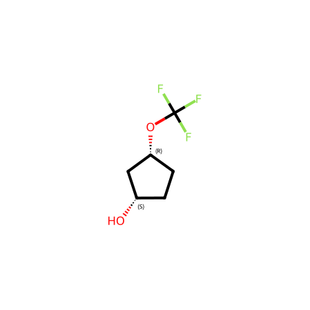 O[C@H]1CC[C@@H](OC(F)(F)F)C1